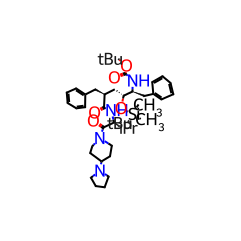 CC(C)[C@H](NC(=O)[C@@H](Cc1ccccc1)C[C@@H](O[Si](C)(C)C(C)(C)C)[C@H](Cc1ccccc1)NC(=O)OC(C)(C)C)C(=O)N1CCC(N2CCCC2)CC1